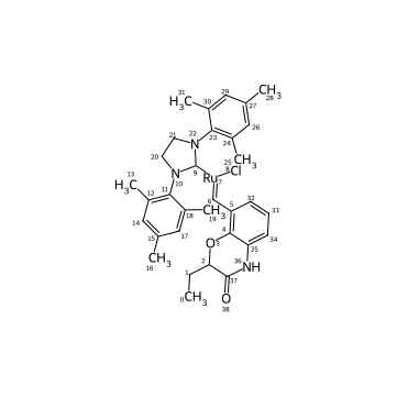 CCC1Oc2c([CH]=[Ru]([Cl])[CH]3N(c4c(C)cc(C)cc4C)CCN3c3c(C)cc(C)cc3C)cccc2NC1=O